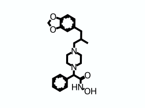 CC(Cc1ccc2c(c1)OCO2)CN1CCN(C(C(=O)NO)c2ccccc2)CC1